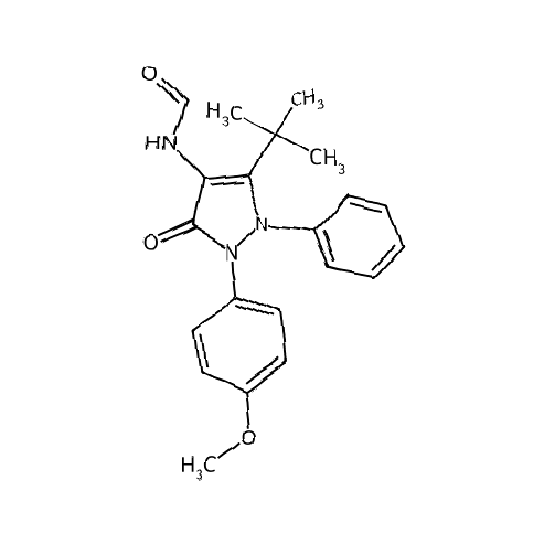 COc1ccc(-n2c(=O)c(NC=O)c(C(C)(C)C)n2-c2ccccc2)cc1